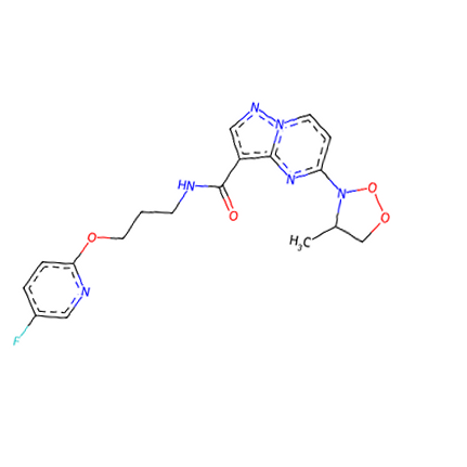 CC1COON1c1ccn2ncc(C(=O)NCCCOc3ccc(F)cn3)c2n1